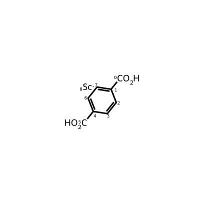 O=C(O)c1ccc(C(=O)O)cc1.[Sc]